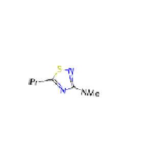 CNc1nsc(C(C)C)n1